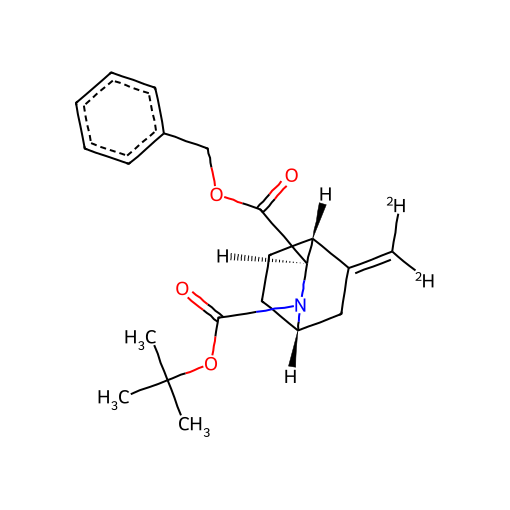 [2H]C([2H])=C1C[C@@H]2CC[C@H]1[C@H](C(=O)OCc1ccccc1)N2C(=O)OC(C)(C)C